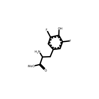 COC(=O)C(N)Cc1cc(F)c(O)c(F)c1